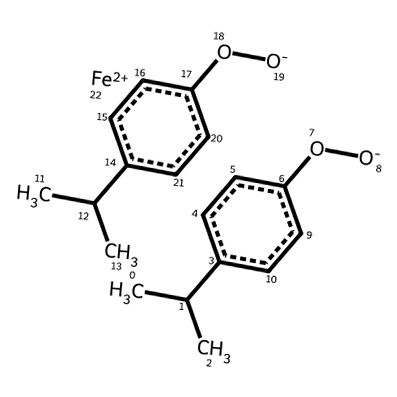 CC(C)c1ccc(O[O-])cc1.CC(C)c1ccc(O[O-])cc1.[Fe+2]